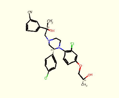 C[C@@H](O)COc1ccc(N2CCN(C[C@@](C)(O)c3cccc(C#N)c3)C[C@H]2c2ccc(Cl)cc2)c(Cl)c1